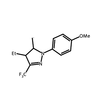 [CH2]C1C(CC)C(C(F)(F)F)=NN1c1ccc(OC)cc1